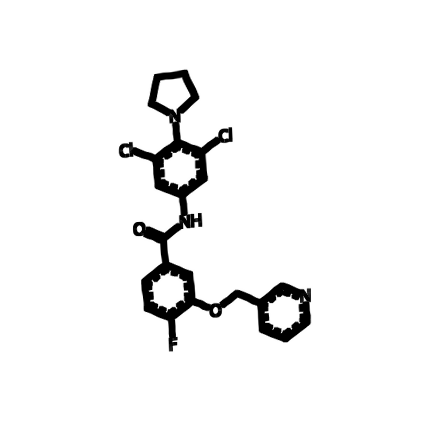 O=C(Nc1cc(Cl)c(N2CCCC2)c(Cl)c1)c1ccc(F)c(OCc2cccnc2)c1